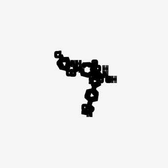 O=C(CC1(c2ccc(-c3ccc(-c4cnco4)cc3)s2)CCN(C(=O)Nc2cc(Cl)ccc2Cl)CCS1(=O)=O)NO